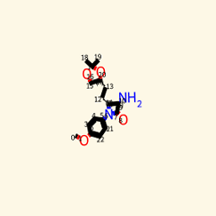 COc1ccc(N2C(=O)[C@@H](N)[C@H]2CC[C@@H]2COC(C)(C)O2)cc1